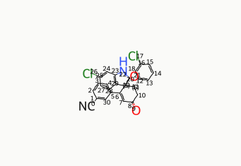 N#Cc1cccc(C2=CC(=O)C[C@@H](c3cccc(Cl)c3)[C@]23C(=O)Nc2cc(Cl)ccc23)c1